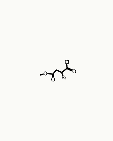 COC(=O)CC(Br)C(=O)Cl